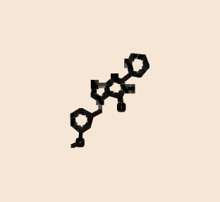 COc1cccc(Cn2cnc3nc(-c4ccccn4)[nH]c(=O)c32)c1